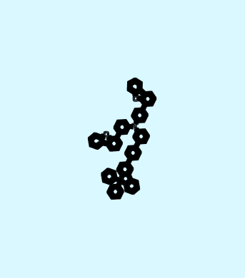 c1ccc(C2(c3ccccc3)c3ccccc3-c3cc(-c4ccc(-c5cccc(N(c6ccc(-c7cccc8c7oc7ccccc78)cc6)c6cccc(-c7cccc8c7oc7ccccc78)c6)c5)cc4)ccc32)cc1